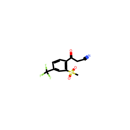 CS(=O)(=O)c1cc(C(F)(F)F)ccc1C(=O)CC#N